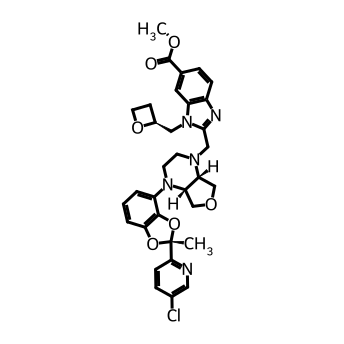 COC(=O)c1ccc2nc(CN3CCN(c4cccc5c4O[C@](C)(c4ccc(Cl)cn4)O5)[C@H]4COC[C@H]43)n(C[C@@H]3CCO3)c2c1